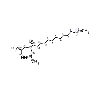 C/C=C/CCCCCCCCCCC(=O)C1CC(C)CNC(C)C1